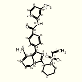 C=CS(=O)(=O)N1CCCC[C@H]1c1nc(-c2ccc(C(=O)Nc3cc(C)ccn3)cc2)c2c(N)nccn12